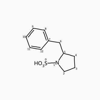 O=S(=O)(O)N1CCCC1Cc1ccccc1